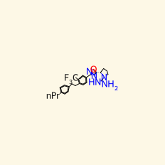 CCCc1ccc(CCc2ccc(-c3noc([C@@H]4CCCN4C(=N)N)n3)cc2C(F)(F)F)cc1